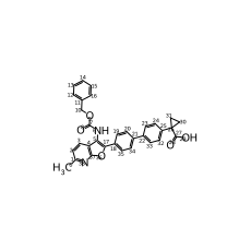 Cc1ccc2c(NC(=O)OCc3ccccc3)c(-c3ccc(-c4ccc(C5(C(=O)O)CC5)cc4)cc3)oc2n1